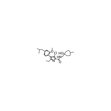 CCc1nc(C(=O)NCC2(O)CCC(C)CC2)c(Cl)n1-c1ccc(CC(C)C)cc1OC